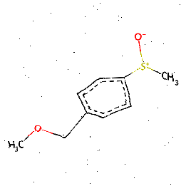 COCc1ccc([S+](C)[O-])cc1